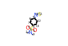 CN(C)S(=O)(=O)c1ccc(N=S)cc1